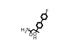 CC(O)(CC(N)=O)c1ccc(-c2ccc(F)cc2)cc1